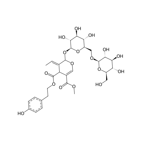 C/C=C1/C(O[C@@H]2O[C@H](CO[C@@H]3O[C@H](CO)[C@@H](O)[C@H](O)[C@H]3O)[C@@H](O)[C@H](O)[C@H]2O)OC=C(C(=O)OC)C1C(=O)OCCc1ccc(O)cc1